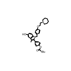 Cc1c(-c2ccc(OC(=O)C(C)(C)C)cc2)n(Cc2ccc(OCCN3CCCCCC3)cc2)c2ccc(O)cc12